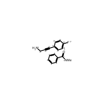 CNC(=O)c1ccccc1.NCC#Cc1ccc(F)cc1